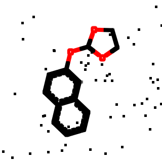 [c]1c(OC2OCCO2)ccc2ccccc12